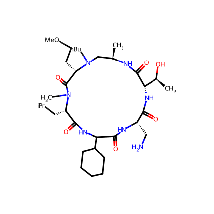 CCCCN1C[C@@H](C)NC(=O)[C@H]([C@H](C)O)NC(=O)[C@H](CN)NC(=O)C(C2CCCCC2)NC(=O)[C@H](CC(C)C)N(C)C(=O)[C@@H]1CCOC